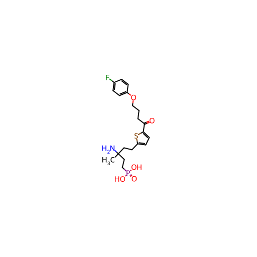 CC(N)(CCc1ccc(C(=O)CCCOc2ccc(F)cc2)s1)CCP(=O)(O)O